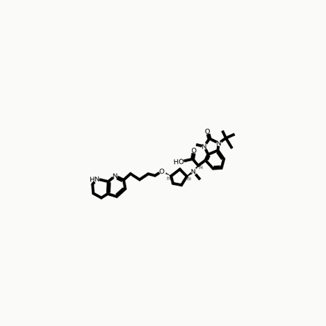 CN([C@H]1CC[C@H](OCCCCc2ccc3c(n2)NCCC3)C1)[C@H](C(=O)O)c1cccc2c1n(C)c(=O)n2C(C)(C)C